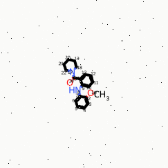 COc1ccccc1Nc1ccccc1C(=O)N1CCCCC1